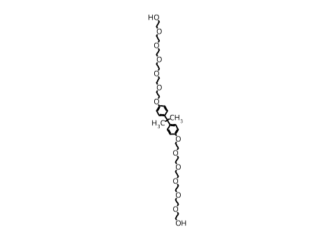 CC(C)(c1ccc(OCCOCCOCCOCCOCCOCCO)cc1)c1ccc(OCCOCCOCCOCCOCCOCCO)cc1